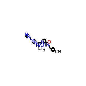 N#Cc1ccc(CCNC(=O)C2CCCN(c3cc(N4CCN(CCn5ccnc5)CC4)nc(C(F)(F)F)n3)C2)cc1